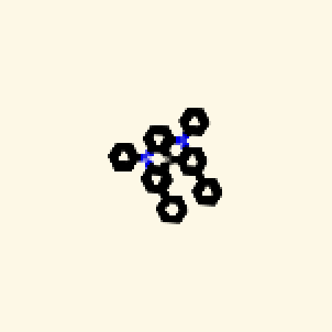 c1ccc(-c2ccc3c(c2)B2c4cc(C5CCCCC5)ccc4N(c4ccccc4)c4cccc(c42)N3c2ccccc2)cc1